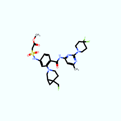 COC(=O)CS(=O)(=O)Nc1ccc(C(=O)Nc2cc(C)nc(N3CCC(F)(F)CC3)n2)c(N2CCC3(CF)CC3C2)c1